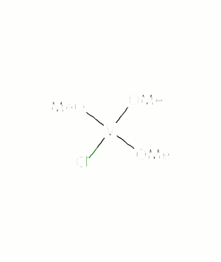 C[O][V]([Cl])([O]C)[O]C